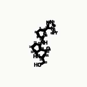 CC(C)n1cnnc1-c1cccc(Nc2cccc3[nH]c(CO)cc(=O)c23)n1